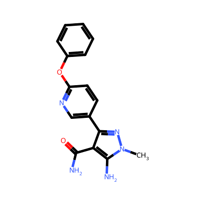 Cn1nc(-c2ccc(Oc3ccccc3)nc2)c(C(N)=O)c1N